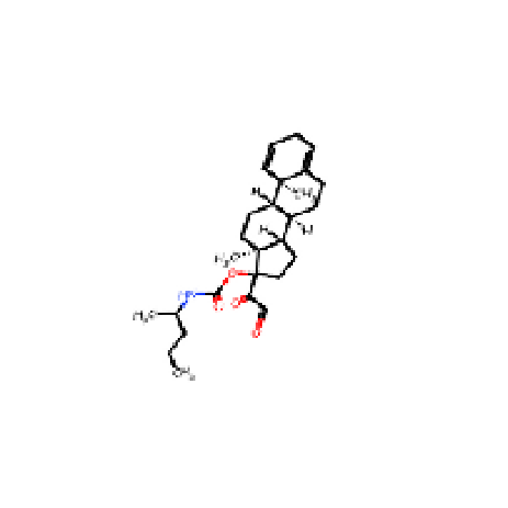 CCCC(C)NC(=O)O[C@]1(C(=O)C=O)CC[C@H]2[C@@H]3CCC4=CCC=C[C@]4(C)[C@H]3CC[C@@]21C